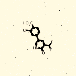 O=C(O)c1ccc(-c2c[nH]c(=O)c(C(F)F)c2)cc1Cl